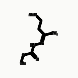 COCC/C(C)=N\NC(=O)OC(C)(C)C